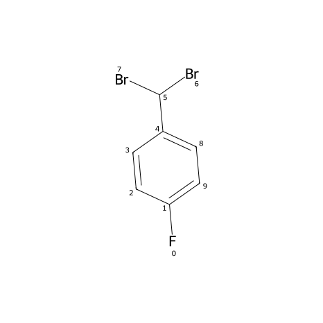 Fc1ccc(C(Br)Br)cc1